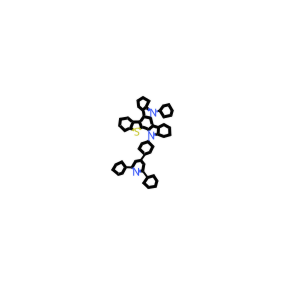 c1ccc(-c2cc(-c3ccc(-n4c5ccccc5c5c4c4sc6ccccc6c4c4c6ccccc6n(-c6ccccc6)c45)cc3)cc(-c3ccccc3)n2)cc1